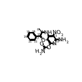 C[C@@H](Nc1cc(OC(N)=O)nc(N)c1[N+](=O)[O-])C(=O)c1ccccc1